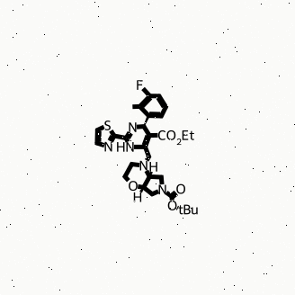 CCOC(=O)C1=C(CN2CCO[C@H]3CN(C(=O)OC(C)(C)C)C[C@H]32)NC(c2nccs2)=N[C@H]1c1cccc(F)c1C